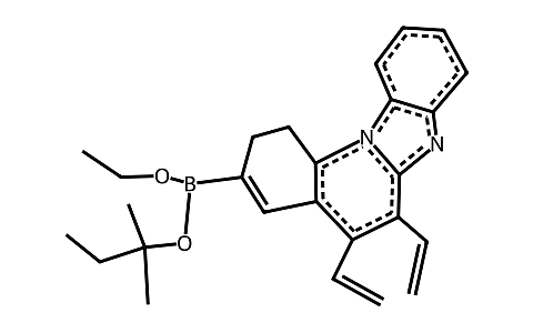 C=Cc1c2c(n3c(nc4ccccc43)c1C=C)CCC(B(OCC)OC(C)(C)CC)=C2